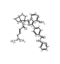 CN(C)C/C=C/C(=O)N1C2(c3nc(-c4ccc(C(=O)Nc5ccccn5)cc4)c4c(N)nccn34)CCC3CCC312